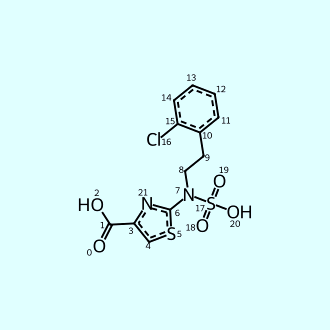 O=C(O)c1csc(N(CCc2ccccc2Cl)S(=O)(=O)O)n1